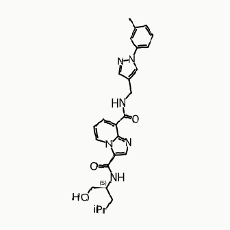 Cc1cccc(-n2cc(CNC(=O)c3cccn4c(C(=O)N[C@H](CO)CC(C)C)cnc34)cn2)c1